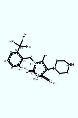 Cc1c(N2CCNCC2)c(=O)[nH]c(=O)n1Cc1c(F)cccc1C(F)(F)F